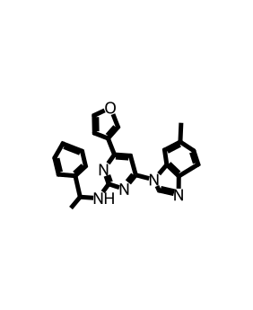 Cc1ccc2ncn(-c3cc(-c4ccoc4)nc(NC(C)c4ccccc4)n3)c2c1